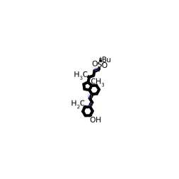 C=C1CCC(O)C/C1=C/C=C1\CCCC2(C)C1CCC2C(C)C/C=C/S(=O)(=O)C(C)(C)C